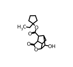 CCC1(OC(=O)C2C3CC4C(OC(=O)C42)C3O)CCCC1